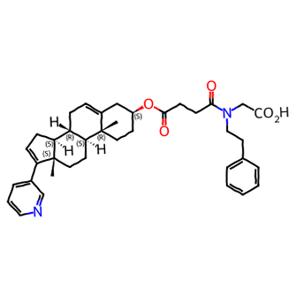 C[C@]12CC[C@H](OC(=O)CCC(=O)N(CCc3ccccc3)CC(=O)O)CC1=CC[C@@H]1[C@@H]2CC[C@]2(C)C(c3cccnc3)=CC[C@@H]12